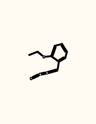 CCOc1ccccc1C=C=C=O